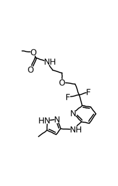 COC(=O)NCCOCC(F)(F)c1cccc(Nc2cc(C)[nH]n2)n1